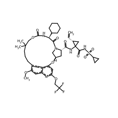 C=C[C@@H]1CC1(NC(=O)[C@@H]1C[C@@H]2CN1C(=O)[C@H](C1CCCCC1)NC(=O)OCC(C)(C)CCCc1cc3c(cc(OCC(F)(F)F)nc3cc1OC)O2)C(=O)NS(=O)(=O)C1CC1